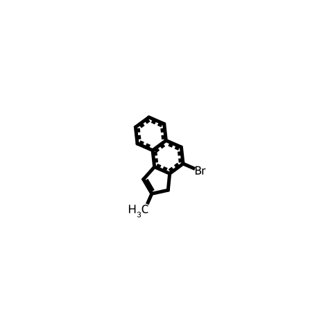 CC1=Cc2c(c(Br)cc3ccccc23)C1